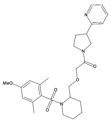 COc1cc(C)c(S(=O)(=O)N2CCCCC2COCC(=O)N2CCC(c3ccccn3)C2)c(C)c1